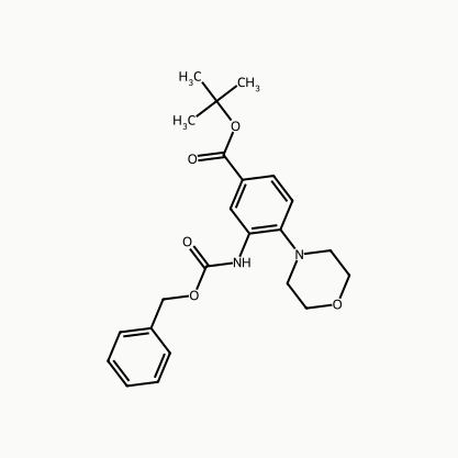 CC(C)(C)OC(=O)c1ccc(N2CCOCC2)c(NC(=O)OCc2ccccc2)c1